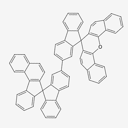 c1ccc2c(c1)-c1ccc(-c3ccc4c(c3)C3(c5ccccc5-4)c4ccccc4-c4c3ccc3ccccc43)cc1C21c2ccc3ccccc3c2Oc2c1ccc1ccccc21